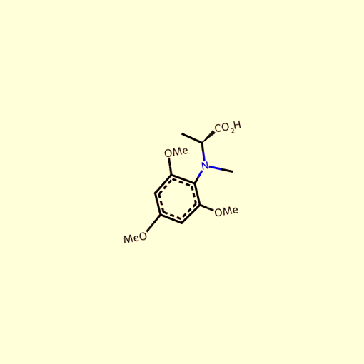 COc1cc(OC)c(N(C)[C@@H](C)C(=O)O)c(OC)c1